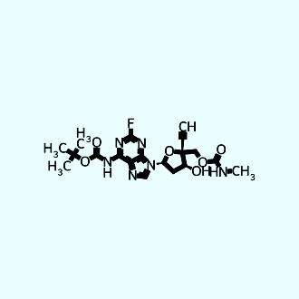 C#C[C@]1(COC(=O)NC)O[C@@H](n2cnc3c(NC(=O)OC(C)(C)C)nc(F)nc32)C[C@@H]1O